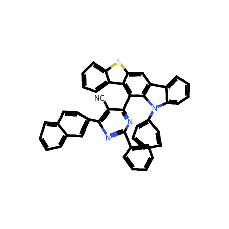 N#Cc1c(-c2ccc3ccccc3c2)nc(-c2ccccc2)nc1-c1c2c(cc3c4ccccc4n(-c4ccccc4)c13)sc1ccccc12